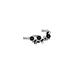 COC(=O)Cc1cccc(NC(=O)NCC(=O)N(CCC(C)C)c2ccccc2OCC(=O)N(C)c2cc(OC)cc(OC)c2)c1